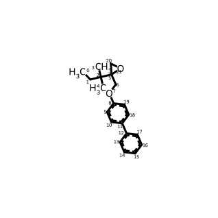 CCC(C)(C)C1(COc2ccc(-c3ccccc3)cc2)CO1